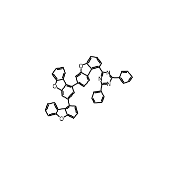 c1ccc(-c2nc(-c3ccccc3)nc(-c3cccc4oc5cc(-c6cc(-c7cccc8oc9ccccc9c78)cc7oc8ccccc8c67)ccc5c34)n2)cc1